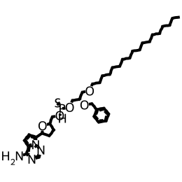 CCCCCCCCCCCCCCCCCCOCC(CO[PH](=S)OCC1CCC(c2ccc3c(N)ncnn23)O1)OCc1ccccc1